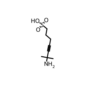 CC(C)(N)C#CCCCS(=O)(=O)O